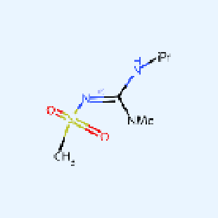 CN/C(=N\S(C)(=O)=O)NC(C)C